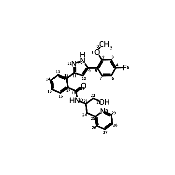 COc1cc(F)ccc1-c1cc(-c2ccccc2C(=O)NC(CO)Cc2ccccn2)n[nH]1